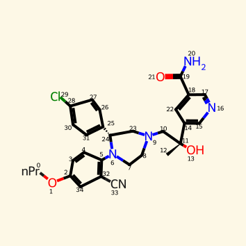 CCCOc1ccc(N2CCN(C[C@@](C)(O)c3cncc(C(N)=O)c3)C[C@H]2c2ccc(Cl)cc2)c(C#N)c1